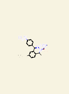 CCNC(=O)N1N=C(c2ccc(N)cc2)c2cc(SC)ccc2C1C